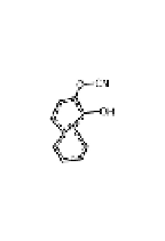 N#COc1ccc2ccccc2c1O